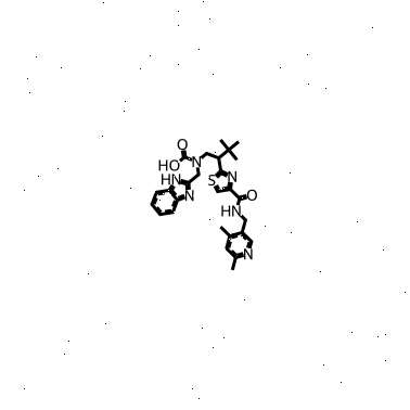 Cc1cc(C)c(CNC(=O)c2csc(C(CN(Cc3nc4ccccc4[nH]3)C(=O)O)C(C)(C)C)n2)cn1